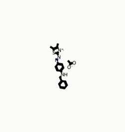 CC(=O)[O-].Cc1sc(/N=N/c2ccc(NCc3ccccc3)cc2)[n+](C)c1C